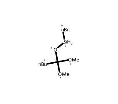 CCCC[SiH2]OC(CCCC)(OC)OC